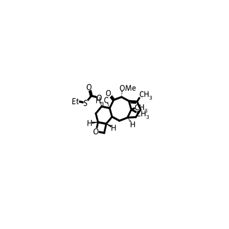 CCSC(=O)O[C@H]1C[C@H]2OC[C@H]2C2C[C@@H]3CCC(C)=C([C@@H](OC)C(=O)[C@@]21C)C3(C)C